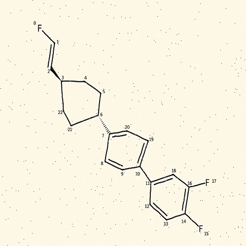 FC=C[C@H]1CC[C@H](c2ccc(-c3ccc(F)c(F)c3)cc2)CC1